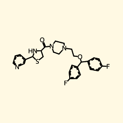 O=C(C1CSC(c2cccnc2)N1)N1CCN(CCOC(c2ccc(F)cc2)c2ccc(F)cc2)CC1